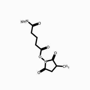 CNC(=O)CCCC(=O)ON1C(=O)CC(C)C1=O